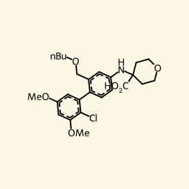 CCCCOCc1cc(NC2(C(=O)O)CCOCC2)ccc1-c1cc(OC)cc(OC)c1Cl